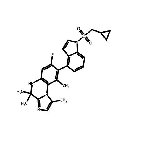 Cc1c(-c2cccc3c2ccn3S(=O)(=O)CC2CC2)c(F)cc2c1-n1c(C)cnc1C(C)(C)N2